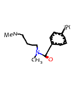 CNCCCN(C)C(=O)c1ccc(C(C)C)cc1